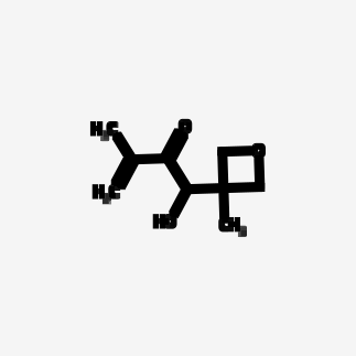 C=C(C)C(=O)C(O)C1(C)COC1